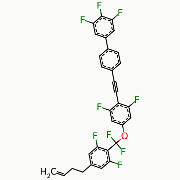 C=CCCc1cc(F)c(C(F)(F)Oc2cc(F)c(C#Cc3ccc(-c4cc(F)c(F)c(F)c4)cc3)c(F)c2)c(F)c1